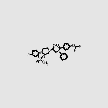 CS(=O)(=O)c1cc(F)ccc1N1CCN(C(=O)CN(C(=O)c2ccc(OC(F)F)cc2)c2ccccc2)CC1